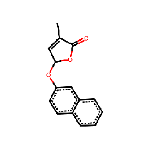 CC1=CC(Oc2ccc3ccccc3c2)OC1=O